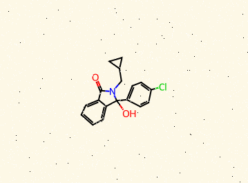 O=C1c2ccccc2C(O)(c2ccc(Cl)cc2)N1CC1CC1